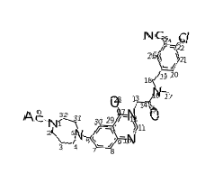 CC(=O)N1CCCN(c2ccc3ncn(CC(=O)N(C)Cc4ccc(Cl)c(C#N)c4)c(=O)c3c2)CC1